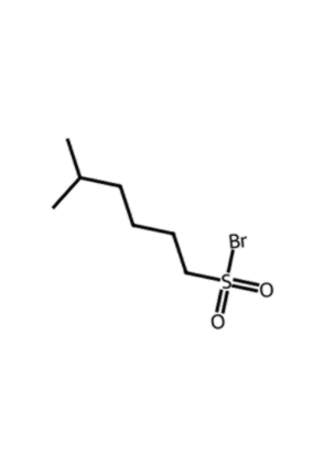 CC(C)CCCCS(=O)(=O)Br